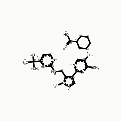 Cc1nc(-c2cnn(C)c2CNc2nccc(C(C)(C)C)n2)ncc1O[C@H]1CCC[C@H](C(=O)O)C1